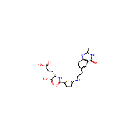 Cc1nc2ccc(CCNc3ccc(C(=O)N[C@@H](CCC(=O)O)C(=O)O)s3)cc2c(=O)[nH]1